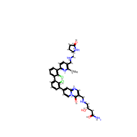 COc1nc(-c2cccc(-c3cccc(-c4ccn5c(=O)c(CNC[C@@H](O)CC(N)=O)cnc5c4)c3Cl)c2Cl)ccc1CNC[C@@H]1CCC(=O)N1